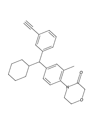 C#Cc1cccc([C](c2ccc(N3CCOCC3=O)c(C)c2)C2CCCCC2)c1